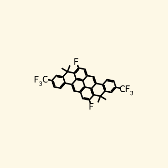 CC1(C)c2cc(C(F)(F)F)ccc2-c2cc3cc(F)c4c5c(cc6cc(F)c1c2c6c35)-c1ccc(C(F)(F)F)cc1C4(C)C